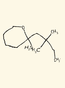 [CH2]CC(C)(C)CC1([SiH3])CCCCO1